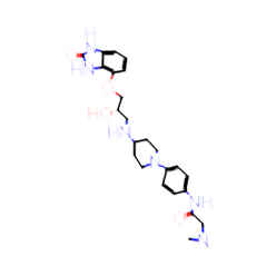 CN(C)CC(=O)Nc1ccc(N2CCC(NC[C@H](O)COc3cccc4[nH]c(=O)[nH]c34)CC2)cc1